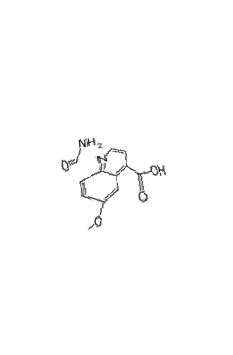 COc1ccc2nccc(C(=O)O)c2c1.NC=O